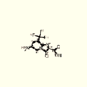 Nc1cc(C(F)(F)F)c2nc(C(=O)O)c(Cl)n2c1